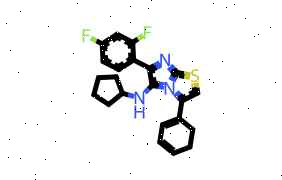 Fc1ccc(-c2nc3scc(C4=CC=CCC4)n3c2NC2CCCC2)c(F)c1